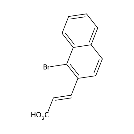 O=C(O)C=Cc1ccc2ccccc2c1Br